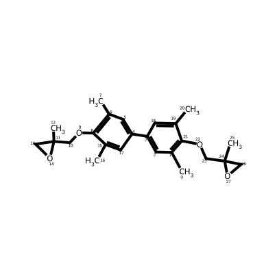 Cc1cc(-c2cc(C)c(OCC3(C)CO3)c(C)c2)cc(C)c1OCC1(C)CO1